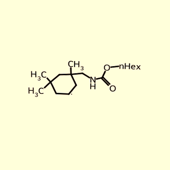 CCCCCCOC(=O)NCC1(C)C[CH]CC(C)(C)C1